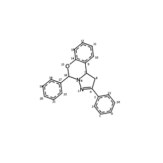 c1ccc(C2=NN3C(C2)c2ccccc2OC3c2ccccc2)cc1